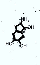 NC1Cc2cc(O)c(O)cc2C1O